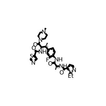 CCn1nccc1C(=O)N[C@@H](C)C(=O)Nc1ccc([C@H](C)[C@@H](NC(=O)c2cncs2)C(=O)N2CCN(C)CC2)cc1F